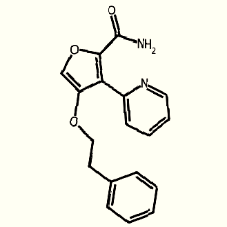 NC(=O)c1occ(OCCc2ccccc2)c1-c1ccccn1